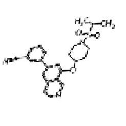 CC(C)S(=O)(=O)N1CCC(Oc2cc(-c3cccc(C#N)c3)cc3ccncc23)CC1